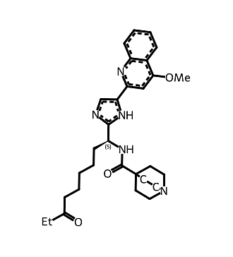 CCC(=O)CCCCC[C@H](NC(=O)C12CCN(CC1)CC2)c1ncc(-c2cc(OC)c3ccccc3n2)[nH]1